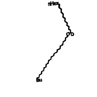 CCCCCCC=CCCCCCCCCCCCC(=O)OCCCCCCCCCCCCCCCCCCCCCCCCC(C)CC